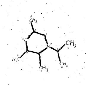 CC1CN(C(C)C)C(C)C(C)O1